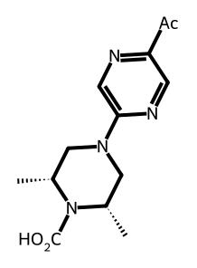 CC(=O)c1cnc(N2C[C@@H](C)N(C(=O)O)[C@@H](C)C2)cn1